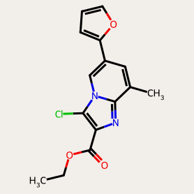 CCOC(=O)c1nc2c(C)cc(-c3ccco3)cn2c1Cl